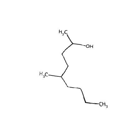 CCCCC(C)CCC(C)O